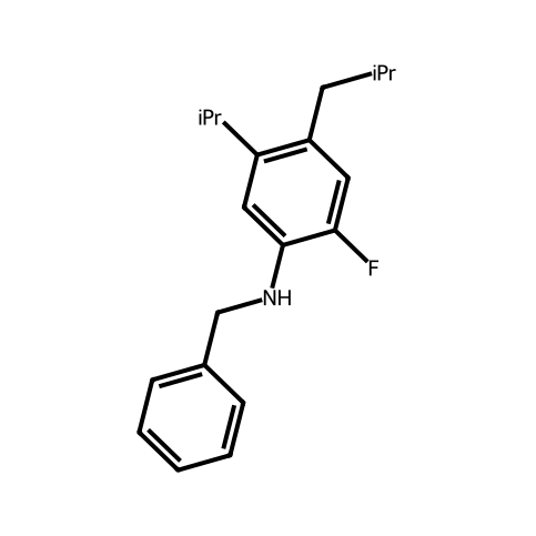 CC(C)Cc1cc(F)c(NCc2ccccc2)cc1C(C)C